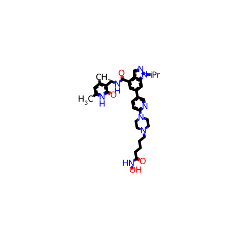 Cc1cc(C)c(CNC(=O)c2cc(-c3ccc(N4CCN(CCCCC(=O)NO)CC4)nc3)cc3c2cnn3C(C)C)c(=O)[nH]1